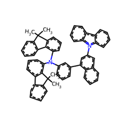 CC1(C)c2ccccc2-c2c(N(c3cccc(-c4cc(-n5c6ccccc6c6ccccc65)cc5ccccc45)c3)c3cccc4c3C(C)(C)c3ccccc3-4)cccc21